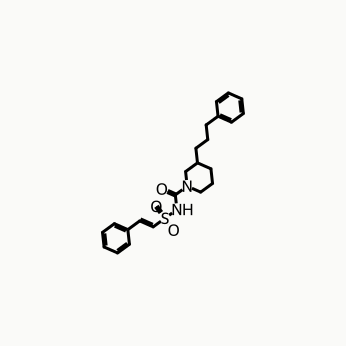 O=C(NS(=O)(=O)C=Cc1ccccc1)N1CCCC(CCCc2ccccc2)C1